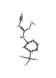 CS/C(=N\C#N)Nc1cccc(C(F)(F)F)c1